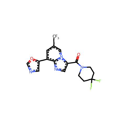 O=C(c1cnc2c(-c3cnco3)cc(C(F)(F)F)cn12)N1CCC(F)(F)CC1